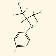 CC(Oc1ccc(F)cc1)(C(F)(F)F)C(F)(F)F